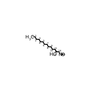 CCCCCCCCCCCCC(O)CN=O